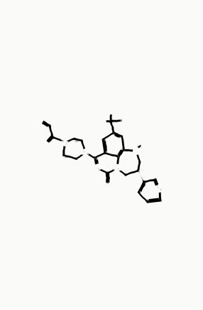 C=CC(=O)N1[C@H](C)CN(c2nc(=O)n3c4c(cc(C(F)(F)F)cc24)[SH](Cl)C[C@@H](c2cccnc2)C3)C[C@@H]1C